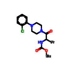 CC(C)C(NC(=O)OC(C)(C)C)C(=O)N1CCN(c2ccccc2Cl)CC1